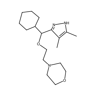 Cc1[nH]nc(C(OCCN2CCOCC2)C2CCCCC2)c1C